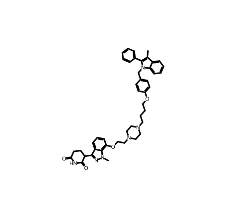 Cc1c(-c2ccccc2)n(Cc2ccc(OCCCCN3CCN(CCOc4cccc5c(C6CCC(=O)NC6=O)nn(C)c45)CC3)cc2)c2ccccc12